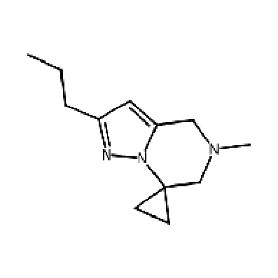 CCCc1cc2n(n1)C1(CC1)CN(C)C2